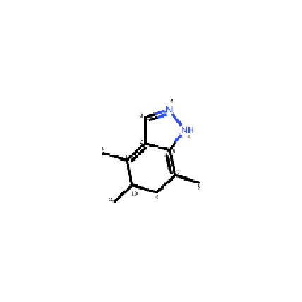 CC1=c2cn[nH]c2=C(C)CC1C